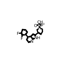 CS(=O)(=O)N1CCC=C(c2cc3c(-c4cccc(F)c4F)ccnc3[nH]2)C1